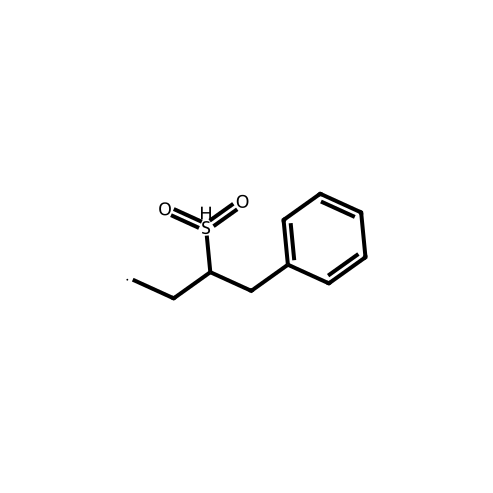 [CH2]CC(Cc1ccccc1)[SH](=O)=O